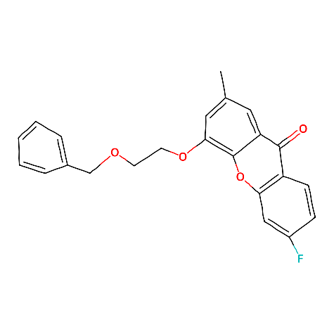 Cc1cc(OCCOCc2ccccc2)c2oc3cc(F)ccc3c(=O)c2c1